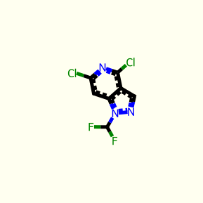 FC(F)n1ncc2c(Cl)nc(Cl)cc21